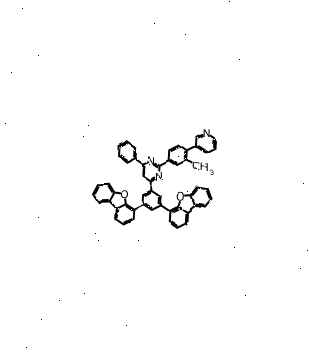 Cc1cc(-c2nc(-c3ccccc3)cc(-c3cc(-c4cccc5c4oc4ccccc45)cc(-c4cccc5c4oc4ccccc45)c3)n2)ccc1-c1cccnc1